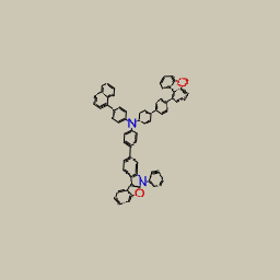 c1ccc(-n2c3cc(-c4ccc(N(c5ccc(-c6ccc(-c7cccc8oc9ccccc9c78)cc6)cc5)c5ccc(-c6cccc7ccccc67)cc5)cc4)ccc3c3c4ccccc4oc32)cc1